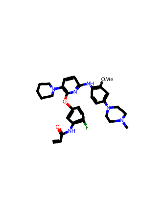 C=CC(=O)Nc1cc(Oc2nc(Nc3ccc(N4CCN(C)CC4)cc3OC)ccc2N2CCCCC2)ccc1F